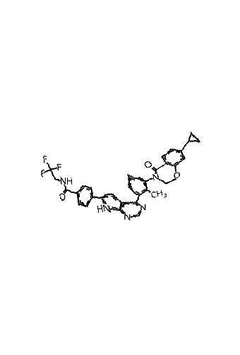 Cc1c(-c2ncnc3[nH]c(-c4ccc(C(=O)NCC(F)(F)F)cc4)cc23)cccc1N1CCOc2cc(C3CC3)ccc2C1=O